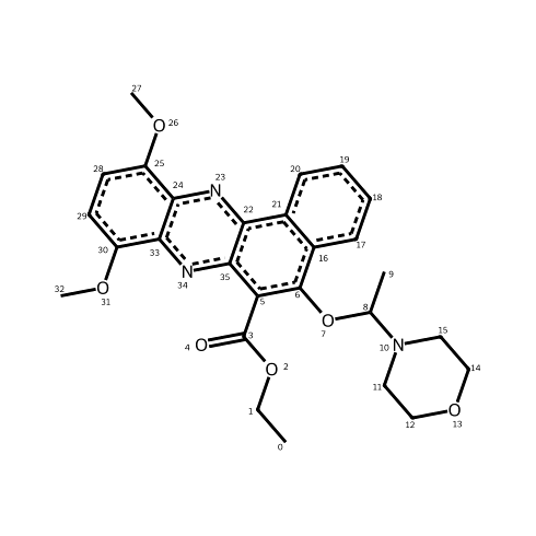 CCOC(=O)c1c(OC(C)N2CCOCC2)c2ccccc2c2nc3c(OC)ccc(OC)c3nc12